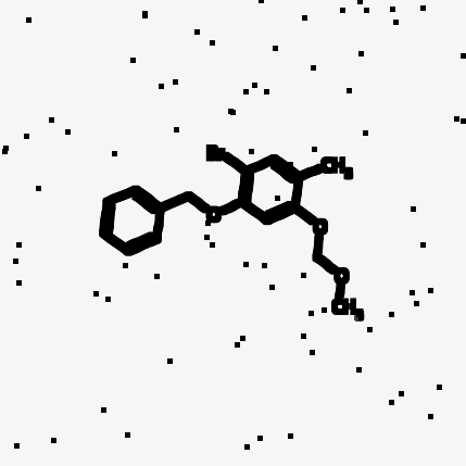 COCOc1cc(OCc2ccccc2)c(Br)cc1C